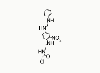 O=C(CCl)NCCNc1ccc(NCCNc2ccccc2)cc1[N+](=O)[O-]